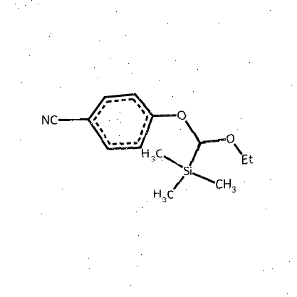 CCOC(Oc1ccc(C#N)cc1)[Si](C)(C)C